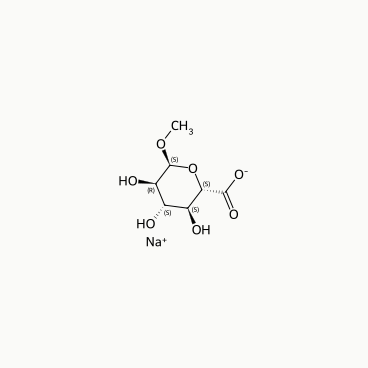 CO[C@H]1O[C@H](C(=O)[O-])[C@@H](O)[C@H](O)[C@H]1O.[Na+]